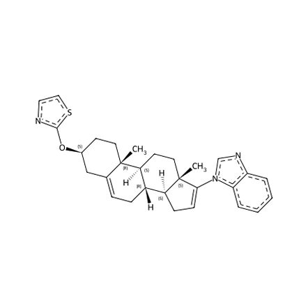 C[C@]12CC[C@H](Oc3nccs3)CC1=CC[C@@H]1[C@@H]2CC[C@]2(C)C(n3cnc4ccccc43)=CC[C@@H]12